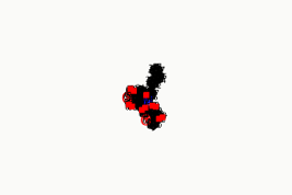 c1ccc2c(c1)Oc1ccccc1C21c2ccccc2-c2ccc(N(c3ccc(-c4ccc5c(ccc6ccccc65)c4)cc3)c3cccc4c3-c3ccccc3C43c4ccccc4Oc4ccccc43)cc21